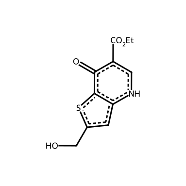 CCOC(=O)c1c[nH]c2cc(CO)sc2c1=O